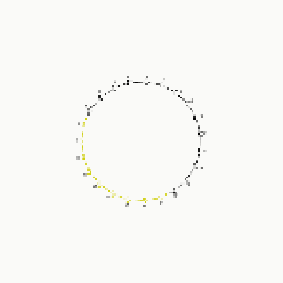 C1CCCCCCCSSSSSSSSSCCCCCC1